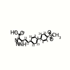 CS(=O)(=O)c1ccc(-c2ccc(C=Cc3[nH]nnc3C(=O)O)cc2)cc1